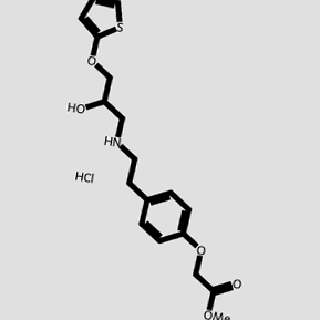 COC(=O)COc1ccc(CCNCC(O)COc2cccs2)cc1.Cl